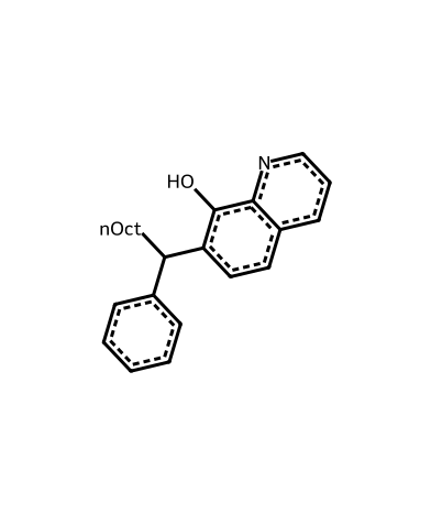 CCCCCCCCC(c1ccccc1)c1ccc2cccnc2c1O